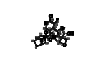 CC(C)(C)OC(=O)N1C2CCC1CN(c1nc(C3(CO)COC3)c(Br)c3c(F)c(Cl)ncc13)C2